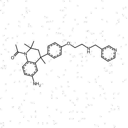 CC(=O)N1c2ccc(N)cc2C(C)(c2ccc(OCCNCc3cccnc3)cc2)CC1(C)C